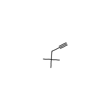 C#CCC(C)(C)C